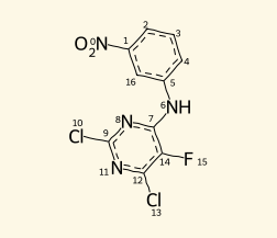 O=[N+]([O-])c1cccc(Nc2nc(Cl)nc(Cl)c2F)c1